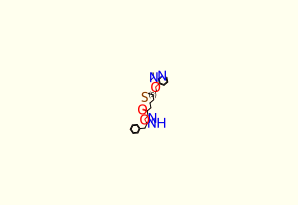 CN(C)c1ncccc1OC[C@@H](C=S)CCCC(=O)C1=NNC(Cc2ccccc2)O1